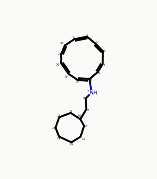 C1=C\C=C/C=C\C(NCCC2CCCCCCC2)=C/C=C\C=C/1